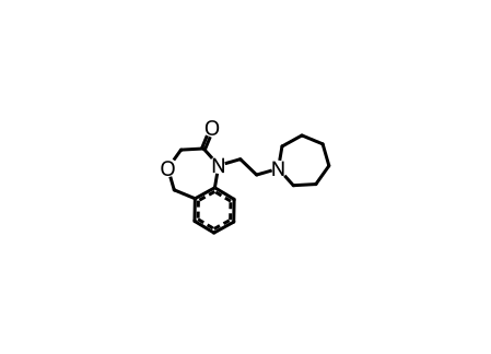 O=C1COCc2ccccc2N1CCN1CCCCCC1